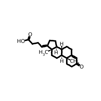 C[C@]12CCC(=O)C=C1CC[C@@H]1[C@@H]2CC[C@]2(C)C(=CCCC(=O)O)CC[C@@H]12